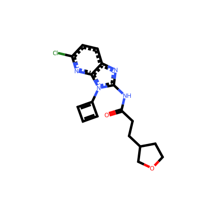 O=C(CCC1CCOC1)Nc1nc2ccc(Cl)nc2n1C1=CC=C1